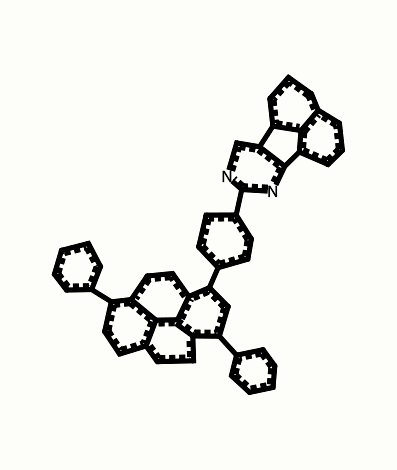 c1ccc(-c2ccc3ccc4c(-c5ccccc5)cc(-c5ccc(-c6ncc7c(n6)-c6cccc8cccc-7c68)cc5)c5ccc2c3c45)cc1